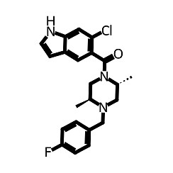 C[C@@H]1CN(Cc2ccc(F)cc2)[C@@H](C)CN1C(=O)c1cc2cc[nH]c2cc1Cl